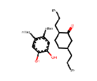 CC(C)CCC1CCC(CCC(C)C)C(=O)C1.CCCCCCc1cc(O)c(O)cc1CCCCCC